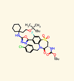 CC(C)(C)OC(=O)N[C@H]1CS(=O)(=O)c2cc(F)c(-c3nnc(NC4(CCO[Si](C)(C)C(C)(C)C)CCCCC4)o3)cc2N(Cc2ccc(Cl)cc2)C1=O